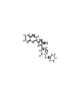 CC(CCN1CCCCC1)CN(C=O)c1cc(-c2cnc3ccccc3c2)n[nH]1